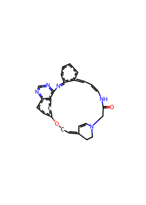 O=C1CN2C=C/C(=C\COc3ccc4ncnc(c4c3)/N=c3/cccc/c3=C/C=C\N1)CC2